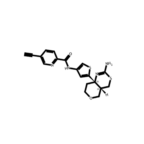 C#Cc1ccc(C(=O)Nc2csc([C@]34CCOC[C@H]3CSC(N)=N4)c2)nc1